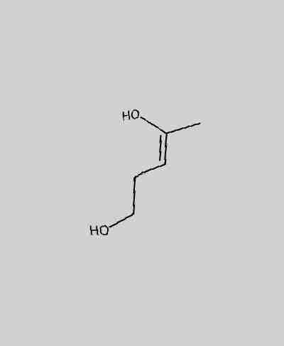 C/C(O)=C/CCO